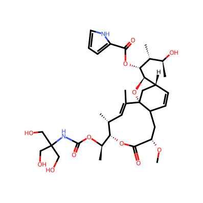 CO[C@H]1CC2C=C[C@@H]3C[C@]2(O[C@H]3[C@H](OC(=O)c2ccc[nH]2)[C@H](C)[C@H](C)O)/C(C)=C/[C@@H](C)[C@@H]([C@@H](C)OC(=O)NC(CO)(CO)CO)OC1=O